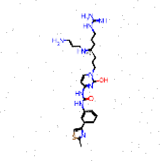 Cc1nc(-c2cccc(NC(=O)NC3=NC(O)N(CCC[C@H](CCCNC(=N)N)NCCCN)C=C3)c2)cs1